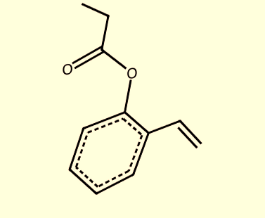 C=Cc1ccccc1OC(=O)CC